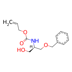 C=CCOC(=O)N[C@H](CO)COCc1ccccc1